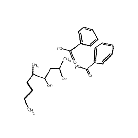 CCCCC(C)C(O)CC(C)O.O=C(O)c1ccccc1.O=C(O)c1ccccc1